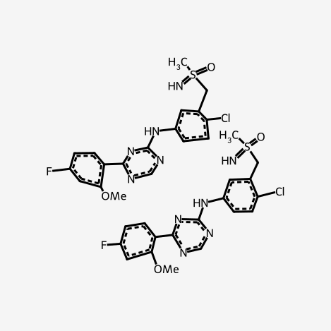 COc1cc(F)ccc1-c1ncnc(Nc2ccc(Cl)c(CS(C)(=N)=O)c2)n1.COc1cc(F)ccc1-c1ncnc(Nc2ccc(Cl)c(CS(C)(=N)=O)c2)n1